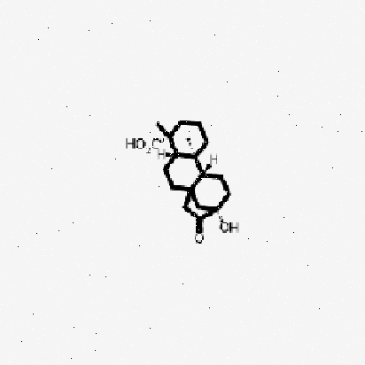 C[C@@]12CCC[C@@](C)(C(=O)O)[C@H]1CCC13CC(=O)[C@](O)(CC[C@H]12)C3